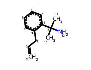 C=CCc1ccccc1C(C)(C)N